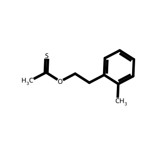 CC(=S)OCCc1ccccc1C